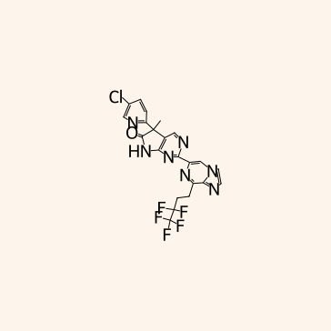 CC1(c2ccc(Cl)cn2)C(=O)Nc2nc(-c3cn4ccnc4c(CCC(F)(F)C(F)(F)F)n3)ncc21